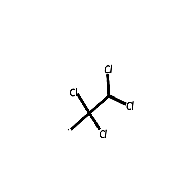 [CH2]C(Cl)(Cl)C(Cl)Cl